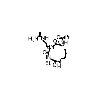 C=C(N)NCCC[C@@H]1NC(=O)[C@](C)(NC(=O)C(C)C)CCCCCNC(=O)[C@H](CC)NC1=O